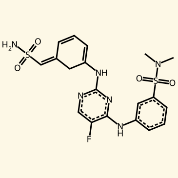 CN(C)S(=O)(=O)c1cccc(Nc2nc(NC3=CC=C/C(=C\S(N)(=O)=O)C3)ncc2F)c1